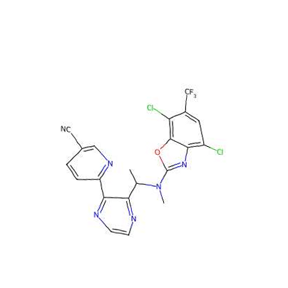 CC(c1nccnc1-c1ccc(C#N)cn1)N(C)c1nc2c(Cl)cc(C(F)(F)F)c(Cl)c2o1